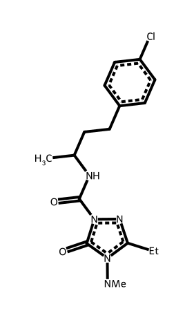 CCc1nn(C(=O)NC(C)CCc2ccc(Cl)cc2)c(=O)n1NC